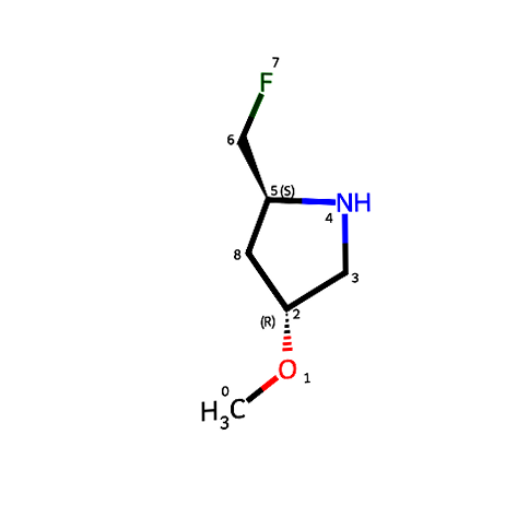 CO[C@H]1CN[C@H](CF)C1